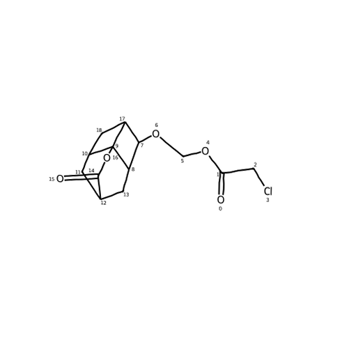 O=C(CCl)OCOC1C2CC3CC(C2)C(=O)OC1C3